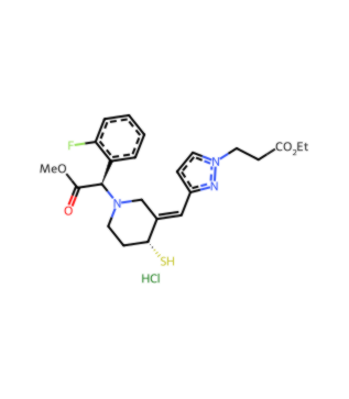 CCOC(=O)CCn1ccc(/C=C2\CN([C@@H](C(=O)OC)c3ccccc3F)CC[C@H]2S)n1.Cl